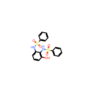 O=S(=O)(Nc1cccc(O)c1NS(=O)(=O)c1ccccc1)c1ccccc1